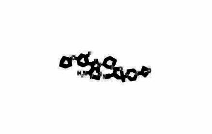 CC(C)(/C=C(/C#N)C(=O)N1CCC[C@@H](n2nc(-c3ccc(Oc4ccccc4)cc3F)c3c(N)ncnc32)C1)N1CCN(C2COC2)CC1